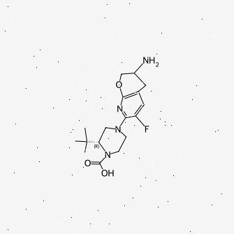 CC(C)(C)[C@@H]1CN(c2nc3c(cc2F)CC(N)CO3)CCN1C(=O)O